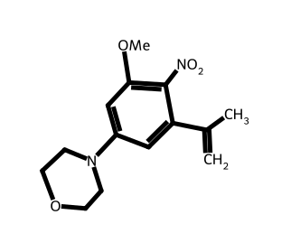 C=C(C)c1cc(N2CCOCC2)cc(OC)c1[N+](=O)[O-]